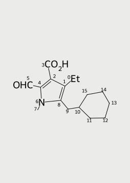 CCc1c(C(=O)O)c(C=O)n(C)c1CC1CCCCC1